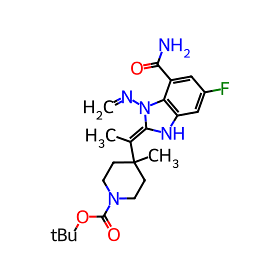 C=NN1/C(=C(\C)C2(C)CCN(C(=O)OC(C)(C)C)CC2)Nc2cc(F)cc(C(N)=O)c21